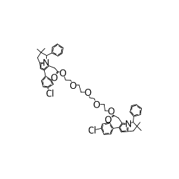 CC1(C)Cc2cc(-c3ccc(Cl)cc3)c(CC(=O)OCCOCCOCCOCCOC(=O)Cc3c(-c4ccc(Cl)cc4)cc4n3C(c3ccccc3)C(C)(C)C4)n2C1c1ccccc1